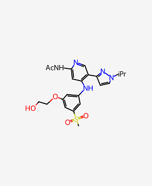 CC(=O)Nc1cc(Nc2cc(OCCO)cc(S(C)(=O)=O)c2)c(-c2ccn(C(C)C)n2)cn1